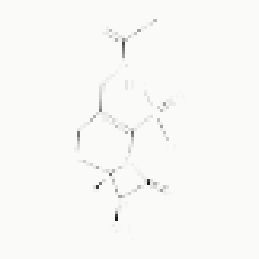 CC(=O)OCC1=C(P(=O)(O)O)N2C(=O)[C@@H](N)[C@@H]2SC1